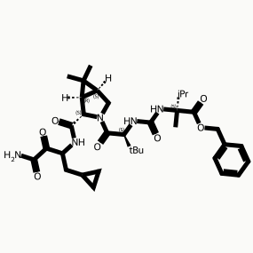 CC(C)[C@](C)(NC(=O)N[C@H](C(=O)N1C[C@H]2[C@@H]([C@H]1C(=O)NC(CC1CC1)C(=O)C(N)=O)C2(C)C)C(C)(C)C)C(=O)OCc1ccccc1